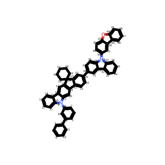 c1ccc(-c2cccc(-n3c4ccccc4c4cc5c(cc43)-c3ccc(-c4ccc6c(c4)c4ccccc4n6-c4ccc6oc7ccccc7c6c4)cc3C53CCCCC3)c2)cc1